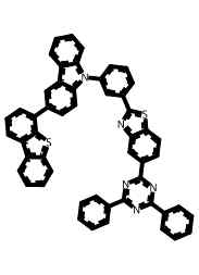 c1ccc(-c2nc(-c3ccccc3)nc(-c3ccc4sc(-c5cccc(-n6c7ccccc7c7cc(-c8cccc9c8sc8ccccc89)ccc76)c5)nc4c3)n2)cc1